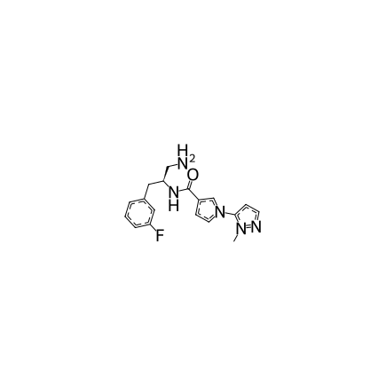 Cn1nccc1-n1ccc(C(=O)N[C@H](CN)Cc2cccc(F)c2)c1